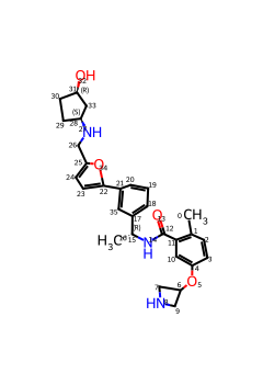 Cc1ccc(OC2CNC2)cc1C(=O)N[C@H](C)c1cccc(-c2ccc(CN[C@H]3CC[C@@H](O)C3)o2)c1